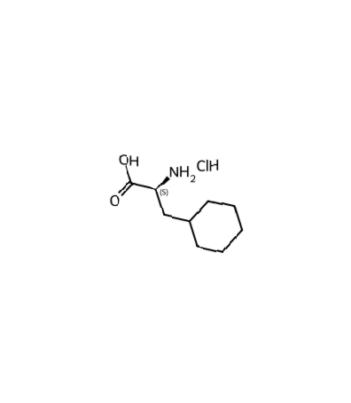 Cl.N[C@@H](CC1CCCCC1)C(=O)O